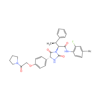 CC(=O)c1ccc(NC(=O)[C@H]([C@@H](C)c2ccccc2)N2C(=O)N[C@H](c3ccc(OCC(=O)N4CCCC4)cc3)C2=O)c(F)c1